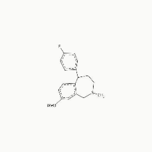 COc1ccc2c(c1)CN(C)CCC2c1ccc(F)cc1